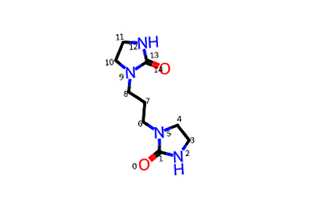 O=C1NCCN1CCCN1CCNC1=O